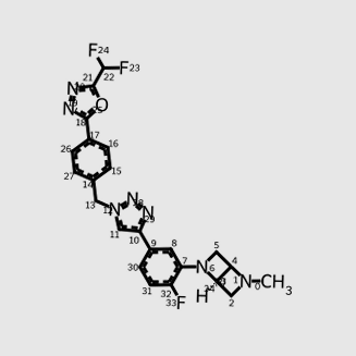 CN1C[C@@H]2C1CN2c1cc(-c2cn(Cc3ccc(-c4nnc(C(F)F)o4)cc3)nn2)ccc1F